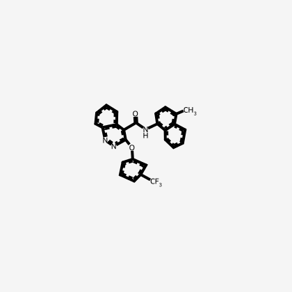 Cc1ccc(NC(=O)c2c(Oc3cccc(C(F)(F)F)c3)nnc3ccccc23)c2ccccc12